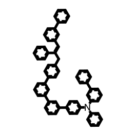 C(=C(\Cc1ccc(-c2cccc(-c3cccc(-c4ccc(N(c5ccccc5)c5cccc(-c6ccccc6)c5)cc4)c3)c2)cc1)c1ccccc1)/c1cccc(-c2ccccc2)c1